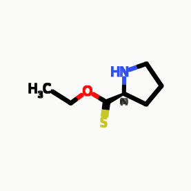 CCOC(=S)[C@@H]1CCCN1